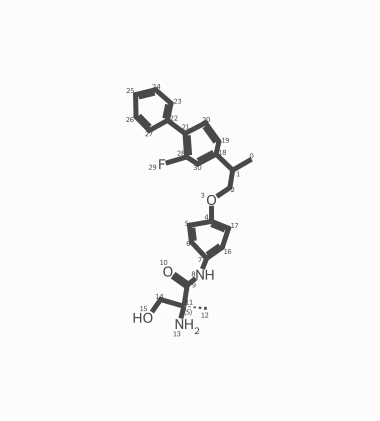 CC(COc1ccc(NC(=O)[C@@](C)(N)CO)cc1)c1ccc(-c2ccccc2)c(F)c1